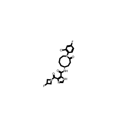 O=C(N[C@@H]1CCCCN(c2ccc(F)cc2Cl)C(=O)CC1)c1[nH]cnc1C(=O)N1CC(F)C1